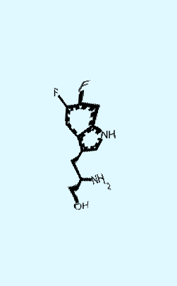 NC(CO)Cc1c[nH]c2cc(F)c(F)cc12